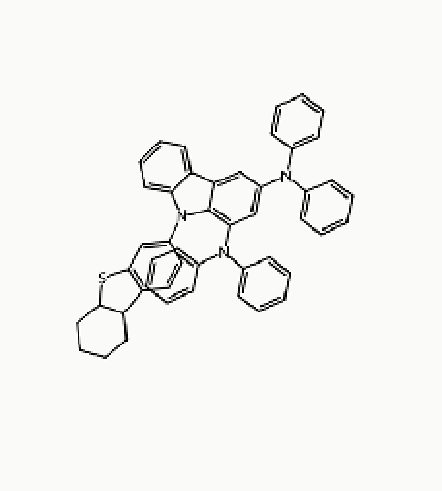 c1ccc(N(c2ccccc2)c2cc(N(c3ccccc3)c3ccccc3)c3c(c2)c2ccccc2n3-c2ccc3c(c2)SC2CCCCC32)cc1